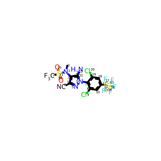 CN(c1c(C#N)nn(-c2c(Cl)cc(S(F)(F)(F)(F)F)cc2Cl)c1N)S(=O)(=O)C(F)(F)F